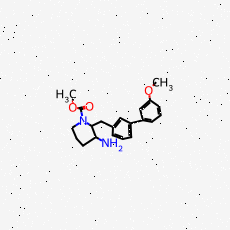 COC(=O)N1CCCC(N)C1Cc1cccc(-c2cccc(OC)c2)c1